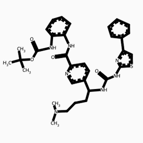 CN(C)CCCC(NC(=O)Nc1nc(-c2ccccc2)cs1)c1ccc(C(=O)Nc2ccccc2NC(=O)OC(C)(C)C)nc1